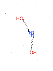 OCCCCCCCCn1cc[n+](CCCCCCCCO)c1